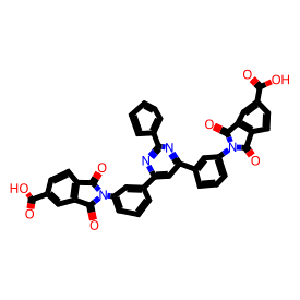 O=C(O)c1ccc2c(c1)C(=O)N(c1cccc(-c3cc(-c4cccc(N5C(=O)c6ccc(C(=O)O)cc6C5=O)c4)nc(-c4ccccc4)n3)c1)C2=O